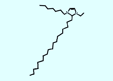 CCCCCCCCCCCCCCCCCCC1N(CC)C=CN1CCCCCCC